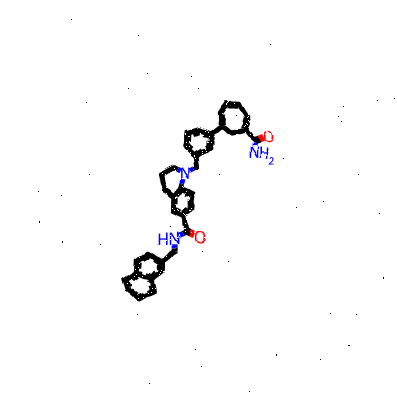 NC(=O)C1=CC=CC=C(c2cccc(CN3CCCc4cc(C(=O)NCc5ccc6ccccc6c5)ccc43)c2)C1